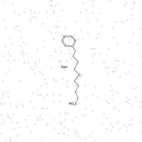 O=S(=O)(O)CCCCOCCCCc1ccccc1.[NaH]